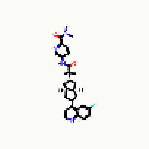 CN(C)C(=O)c1ccc(NC(=O)C(C)(C)[C@H]2C[C@H]3C[C@@H](c4ccnc5ccc(F)cc45)C[C@H]3C2)cn1